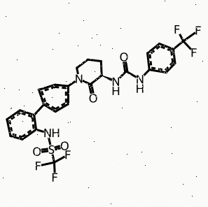 O=C(Nc1ccc(C(F)(F)F)cc1)N[C@@H]1CCCN(c2ccc(-c3ccccc3NS(=O)(=O)C(F)(F)F)cc2)C1=O